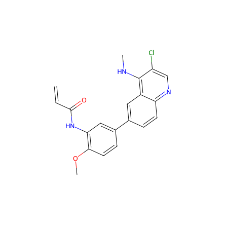 C=CC(=O)Nc1cc(-c2ccc3ncc(Cl)c(NC)c3c2)ccc1OC